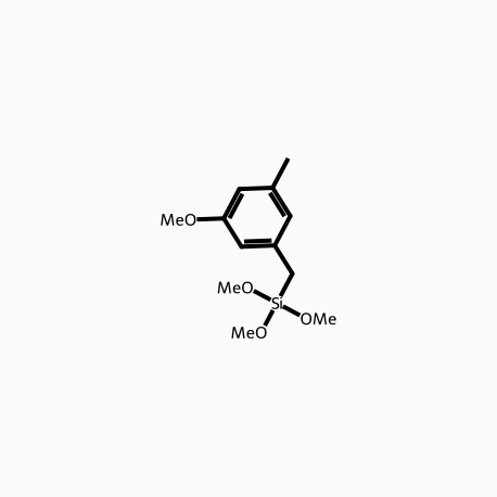 COc1cc(C)cc(C[Si](OC)(OC)OC)c1